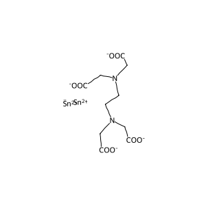 O=C([O-])CN(CCN(CC(=O)[O-])CC(=O)[O-])CC(=O)[O-].[Sn+2].[Sn+2]